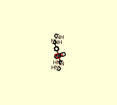 c1ccc(N2C3CCC2c2c(-c4cnc([C@@H]5CCCN5)[nH]4)ccc(-c4ccc(-c5cnc([C@@H]6CCCN6)[nH]5)cc4)c23)cc1